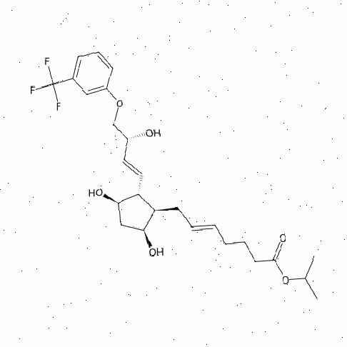 CC(C)OC(=O)CCCC=CC[C@@H]1[C@@H](C=C[C@@H](O)COc2cccc(C(F)(F)F)c2)[C@H](O)C[C@@H]1O